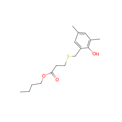 CCCCOC(=O)CCSCc1cc(C)cc(C)c1O